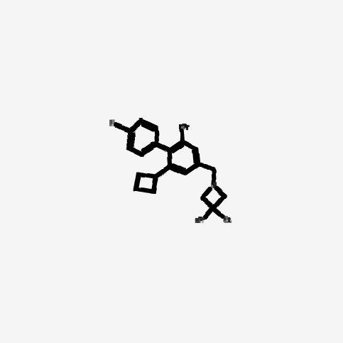 CCCc1cc(CN2CC(CC)(CCC)C2)cc(C2CCC2)c1-c1ccc(F)cc1